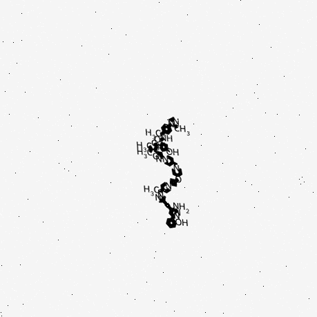 Cc1nccn1-c1ccc([C@H](C)NC(=O)[C@@H]2C[C@@H](O)CN2C(=O)[C@@H](c2cc(N3CCC(CN4CCC(OC5CC(N6CCC([C@@H](C)n7cc(C#Cc8cc(-c9ccccc9O)nnc8N)cn7)CC6)C5)CC4)CC3)no2)C(C)C)cc1